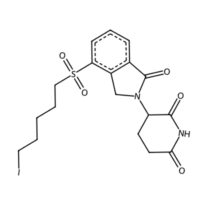 O=C1CCC(N2Cc3c(cccc3S(=O)(=O)CCCCCI)C2=O)C(=O)N1